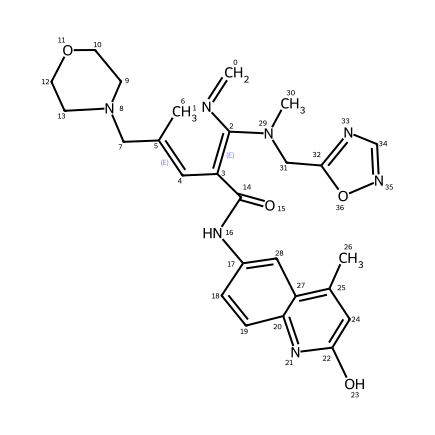 C=N/C(=C(\C=C(/C)CN1CCOCC1)C(=O)Nc1ccc2nc(O)cc(C)c2c1)N(C)Cc1ncno1